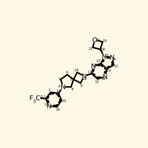 FC(F)(F)c1cc(N2CCC3(C2)CN(c2cnc4cnn(C5COC5)c4n2)C3)ccn1